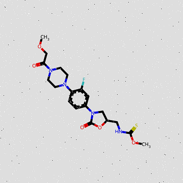 COCC(=O)N1CCN(c2ccc(N3CC(CNC(=S)OC)OC3=O)cc2F)CC1